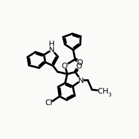 CCCN1C(=O)C(Cc2c[nH]c3ccccc23)(OC(=O)c2ccccc2)c2cc(Cl)ccc21